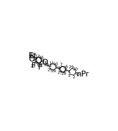 CCCC1CCC(c2ccc(C3CCC(COc4ccc(OCC)c(F)c4F)CC3)cc2)CC1